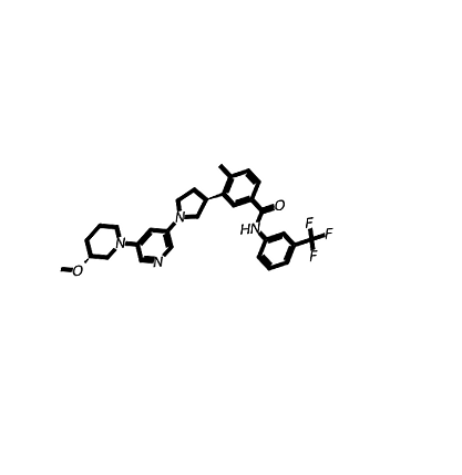 CO[C@@H]1CCCN(c2cncc(N3CC[C@@H](c4cc(C(=O)Nc5cccc(C(F)(F)F)c5)ccc4C)C3)c2)C1